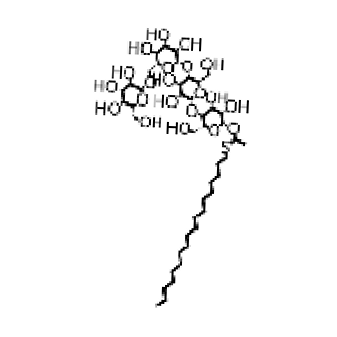 CCCCCCCCCCCCCCCCCCSC(C)O[C@@H]1O[C@H](CO)[C@@H](O[C@H]2O[C@H](CO)[C@@H](O[C@H]3O[C@H](CO[C@H]4O[C@H](CO)[C@@H](O)[C@H](O)[C@H]4O)[C@@H](O)[C@H](O)[C@H]3O)[C@H](O)[C@H]2O)[C@H](O)[C@H]1O